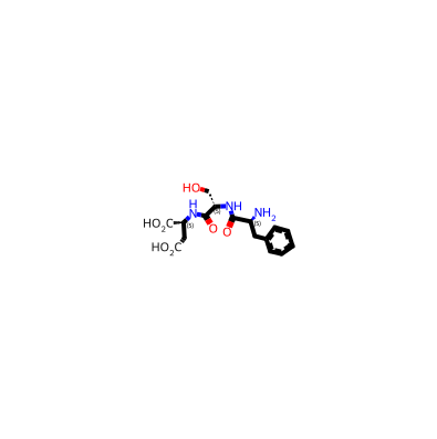 N[C@@H](Cc1ccccc1)C(=O)N[C@@H](CO)C(=O)N[C@@H](CC(=O)O)C(=O)O